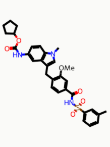 COc1cc(C(=O)NS(=O)(=O)c2cccc(C)c2)ccc1Cc1cn(C)c2ccc(NC(=O)OC3CCCC3)cc12